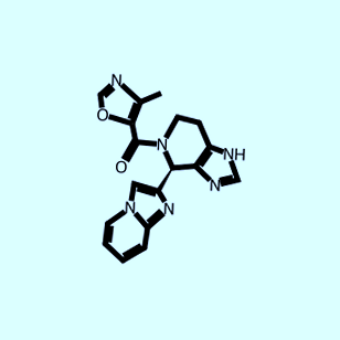 Cc1ncoc1C(=O)N1CCc2[nH]cnc2[C@H]1c1cn2ccccc2n1